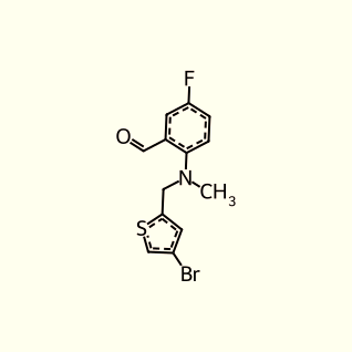 CN(Cc1cc(Br)cs1)c1ccc(F)cc1C=O